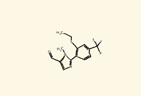 CCSc1cc(C(F)(F)F)ccc1-c1ncc(C=O)n1C